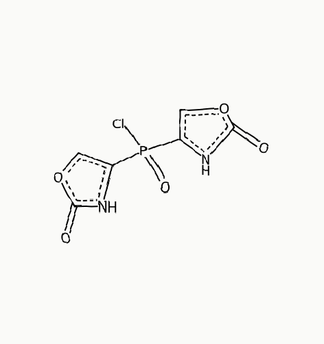 O=c1[nH]c(P(=O)(Cl)c2coc(=O)[nH]2)co1